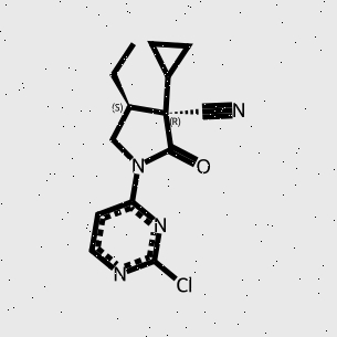 CC[C@@H]1CN(c2ccnc(Cl)n2)C(=O)[C@]1(C#N)C1CC1